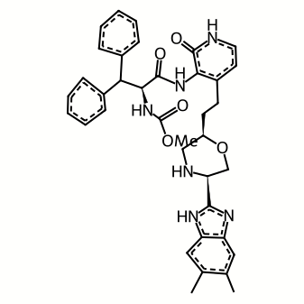 COC(=O)N[C@H](C(=O)Nc1c(CC[C@@H]2CN[C@H](c3nc4cc(C)c(C)cc4[nH]3)CO2)cc[nH]c1=O)C(c1ccccc1)c1ccccc1